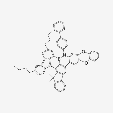 CCCCc1ccc2c(c1)c1cc(CCCC)cc3c1n2-c1c2c(cc4c1C(C)(C)c1ccccc1-4)-c1cc4c(cc1N(c1ccc(-c5ccccc5)cc1)B23)Oc1ccccc1O4